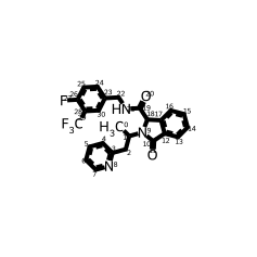 CC(Cc1ccccn1)N1C(=O)c2ccccc2C1C(=O)NCc1ccc(F)c(C(F)(F)F)c1